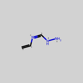 C=C/N=C\NN